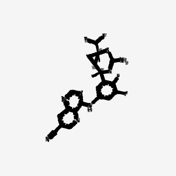 C[C@]1(c2cc(Nc3ncnc4cc(C#N)cnc34)cc(F)c2F)N=C(N)S[C@@]2(C(F)F)C[C@@H]12